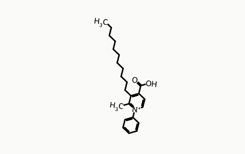 CCCCCCCCCCCc1c(C(=O)O)cc[n+](-c2ccccc2)c1C